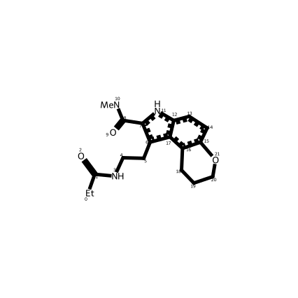 CCC(=O)NCCc1c(C(=O)NC)[nH]c2ccc3c(c12)CCCO3